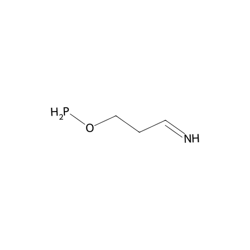 N=CCCOP